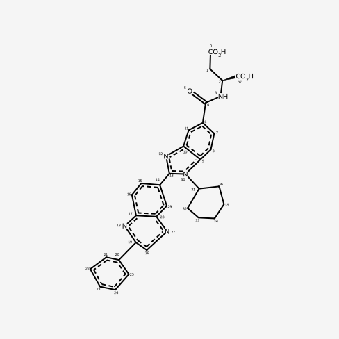 O=C(O)C[C@H](NC(=O)c1ccc2c(c1)nc(-c1ccc3nc(-c4ccccc4)cnc3c1)n2C1CCCCC1)C(=O)O